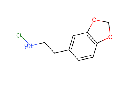 ClNCCc1ccc2c(c1)OCO2